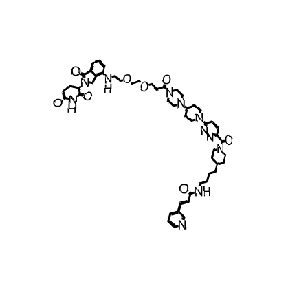 O=C(/C=C/c1cccnc1)NCCCCC1CCN(C(=O)c2ccc(N3CCC(N4CCN(C(=O)CCOCCOCCNc5cccc6c5CN(C5CCC(=O)NC5=O)C6=O)CC4)CC3)nn2)CC1